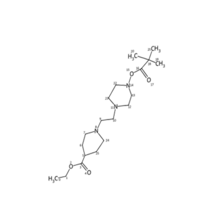 CCOC(=O)C1CCN(CCN2CCN(OC(=O)C(C)(C)C)CC2)CC1